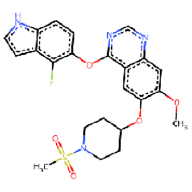 COc1cc2ncnc(Oc3ccc4[nH]ccc4c3F)c2cc1OC1CCN(S(C)(=O)=O)CC1